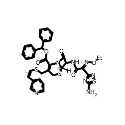 CCON=C(C(=O)NC1C(=O)N2C(C(=O)OC(c3ccccc3)c3ccccc3)=C(CS/C=C\c3cccnc3)CS[C@@H]12)c1nsc(N)n1